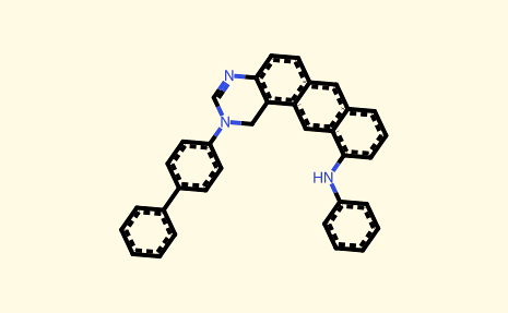 C1=Nc2ccc3cc4cccc(Nc5ccccc5)c4cc3c2CN1c1ccc(-c2ccccc2)cc1